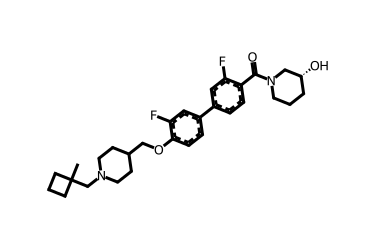 CC1(CN2CCC(COc3ccc(-c4ccc(C(=O)N5CCC[C@@H](O)C5)c(F)c4)cc3F)CC2)CCC1